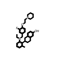 CCN(Cc1ccc(OCCN2CCCCC2)c(F)c1)c1cccc(C)c1C1CCc2cc(O)ccc2C1